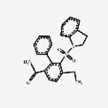 CCc1ccc(C(N)=O)c(-c2ccccc2)c1S(=O)(=O)N1CCc2ccccc21